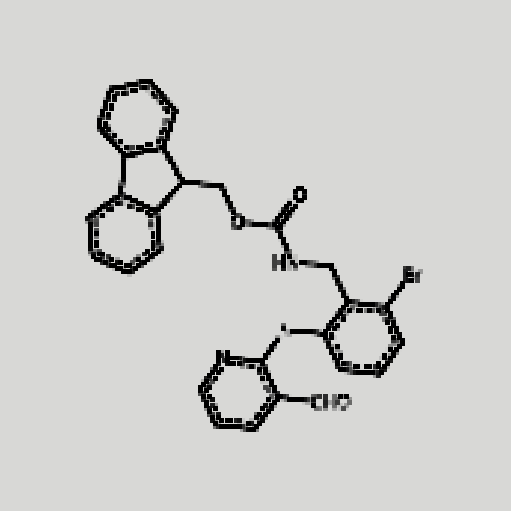 O=Cc1cccnc1Sc1cccc(Br)c1CNC(=O)OCC1c2ccccc2-c2ccccc21